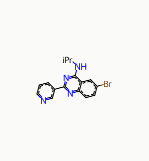 CC(C)Nc1nc(-c2cccnc2)nc2ccc(Br)cc12